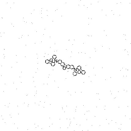 C1=CCCC(N(c2ccc3cc4c(cc3c2)oc2cc3cc(N(c5ccccc5)c5cccc6c5oc5ccccc56)ccc3cc24)c2cccc3c2oc2ccccc23)=C1